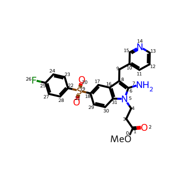 COC(=O)CCn1c(N)c(Cc2cccnc2)c2cc(S(=O)(=O)c3ccc(F)cc3)ccc21